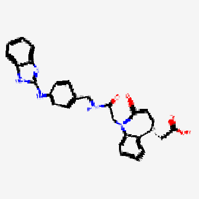 O=C(O)C[C@H]1CCC(=O)N(CC(=O)NCc2ccc(Nc3nc4ccccc4[nH]3)cc2)c2ccccc21